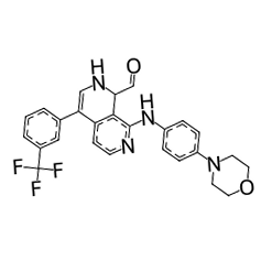 O=CC1NC=C(c2cccc(C(F)(F)F)c2)c2ccnc(Nc3ccc(N4CCOCC4)cc3)c21